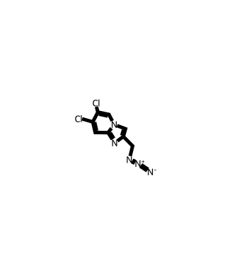 [N-]=[N+]=NCc1cn2cc(Cl)c(Cl)cc2n1